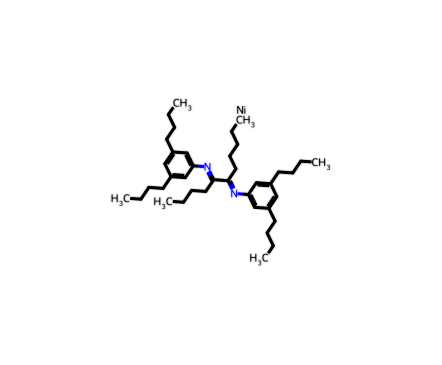 CCCCCC(=N\c1cc(CCCC)cc(CCCC)c1)/C(CCCC)=N/c1cc(CCCC)cc(CCCC)c1.[Ni]